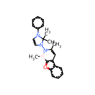 CB1c2oc3ccccc3c2C=C(C)N1N1C=CN(c2ccccc2)C1(C)C